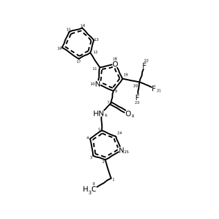 CCc1ccc(NC(=O)c2nc(-c3ccccc3)oc2C(F)(F)F)cn1